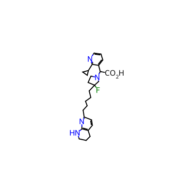 O=C(O)C(c1cccnc1C1CC1)N1CCC(F)(CCCCCc2ccc3c(n2)NCCC3)C1